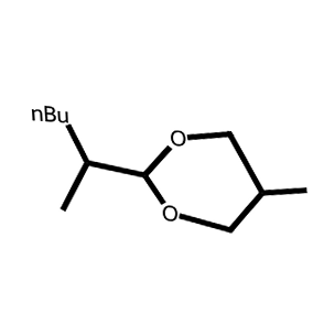 CCCCC(C)C1OCC(C)CO1